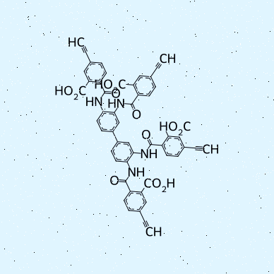 C#Cc1ccc(C(=O)Nc2ccc(-c3ccc(NC(=O)c4ccc(C#C)cc4C(=O)O)c(NC(=O)c4ccc(C#C)cc4C(=O)O)c3)cc2NC(=O)c2ccc(C#C)cc2C(=O)O)c(C(=O)O)c1